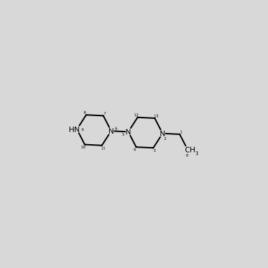 CCN1CCN(N2CCNCC2)CC1